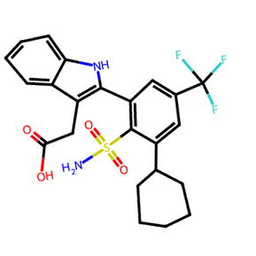 NS(=O)(=O)c1c(-c2[nH]c3ccccc3c2CC(=O)O)cc(C(F)(F)F)cc1C1CCCCC1